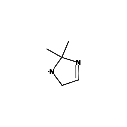 CC1(C)[N]CC=N1